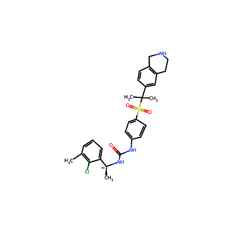 Cc1cccc([C@H](C)NC(=O)Nc2ccc(S(=O)(=O)C(C)(C)c3ccc4c(c3)CCNC4)cc2)c1Cl